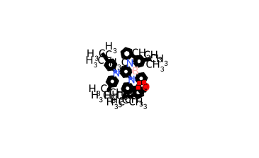 CC(C)(C)c1ccc(N(c2ccc(C(C)(C)C)cc2)c2cc3c4c(c2)N2c5c(cc(C(C)(C)C)cc5C5(C)CCCCC25C)B4c2ccc4oc5ccc(C(C)(C)C)cc5c4c2N3c2ccc(C(C)(C)C)cc2-c2ccccc2)cc1